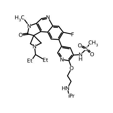 CCC(CC)N1CC2(C1)C(=O)N(C)c1cnc3cc(F)c(-c4cnc(OCCNC(C)C)c(NS(C)(=O)=O)c4)cc3c12